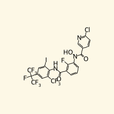 O=C(Nc1c(I)cc(C(F)(C(F)(F)F)C(F)(F)F)cc1C(F)(F)F)c1cccc(N(O)C(=O)c2ccc(Cl)nc2)c1F